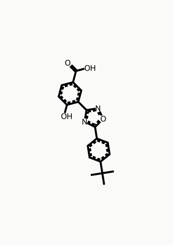 CC(C)(C)c1ccc(-c2nc(-c3cc(C(=O)O)ccc3O)no2)cc1